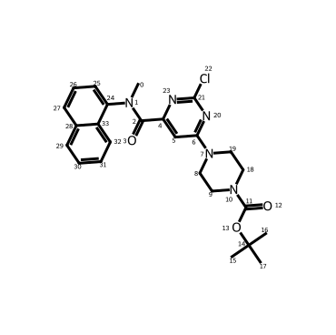 CN(C(=O)c1cc(N2CCN(C(=O)OC(C)(C)C)CC2)nc(Cl)n1)c1cccc2ccccc12